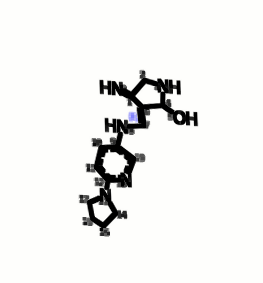 N=C1CNC(O)/C1=C/Nc1ccc(N2CCCC2)nc1